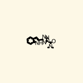 CN(C)C(=O)n1nnc(-c2cc3ccccc3[nH]2)n1